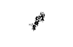 COc1ncnc(C2CC2)c1-c1nc2n(n1)CCC(=O)N2[C@@H](C)c1ccc(-n2nc(C(F)(F)F)cc2C)c(F)c1